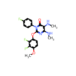 CNc1nc(Oc2ccc(OC)c(F)c2F)n(-c2ccc(F)cc2)c(=O)c1NC